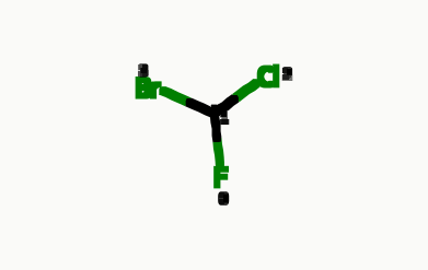 F[C](Cl)Br